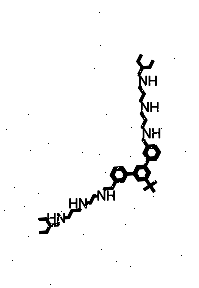 CCC(CC)CNCCCNCCCNCc1cccc(-c2cc(-c3cccc(CCNCCNCCCNCC(CC)CC)c3)cc(C(C)(C)C)c2)c1